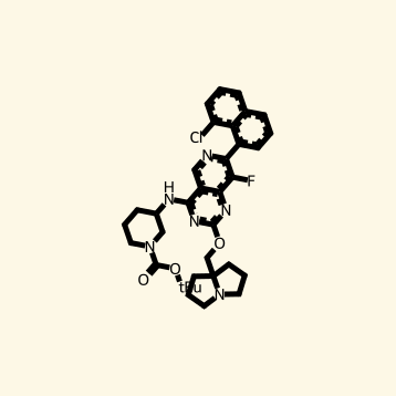 CC(C)(C)OC(=O)N1CCCC(Nc2nc(OCC34CCCN3CCC4)nc3c(F)c(-c4cccc5cccc(Cl)c45)ncc23)C1